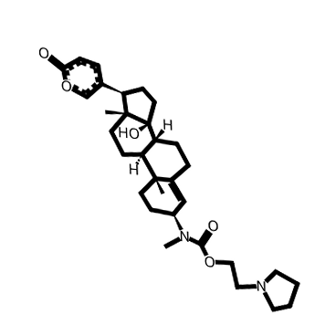 CN(C(=O)OCCN1CCCC1)[C@@H]1C=C2CC[C@@H]3[C@H](CC[C@]4(C)[C@@H](c5ccc(=O)oc5)CC[C@]34O)[C@@]2(C)CC1